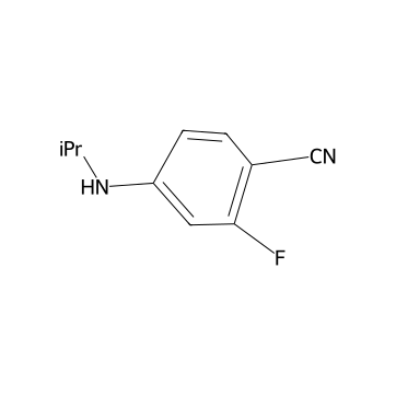 CC(C)Nc1ccc(C#N)c(F)c1